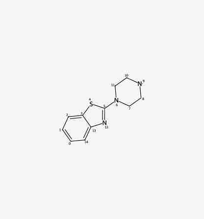 c1ccc2sc(N3CC[N]CC3)nc2c1